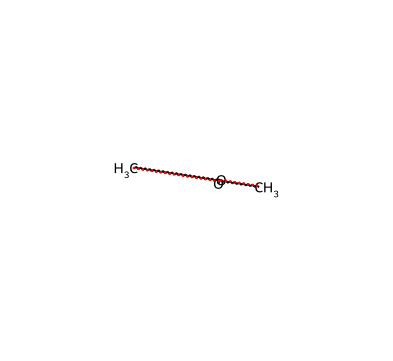 CCCCCCCCCCCCCCCCCCCCCCCCCCCCCCCCCCCCCCC(=O)OCCCCCCCCCCCCCCCCC